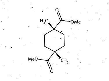 COC(=O)[C@]1(C)CC[C@](C)(C(=O)OC)CC1